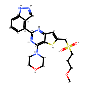 COCCCS(=O)(=O)Cc1cc2nc(-c3cccc4[nH]ncc34)nc(N3CCOCC3)c2s1